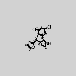 Fc1cc(Cl)cc(Cl)c1O[C@H](c1ncco1)[C@@H]1CCNC1